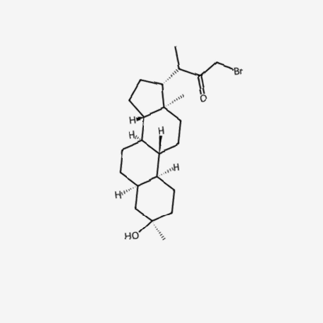 CC(C(=O)CBr)[C@H]1CC[C@H]2[C@@H]3CC[C@@H]4C[C@](C)(O)CC[C@@H]4[C@H]3CC[C@]12C